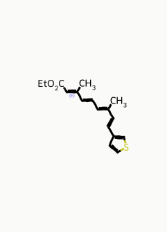 CCOC(=O)/C=C(\C)C=CC=C(C)C=Cc1ccsc1